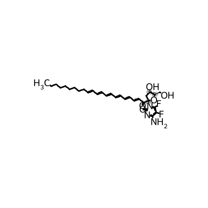 CCCCCCCCCC=CC=CC=CC=CC=CC=CC(=O)[C@]1(n2c(F)c(F)c(N)nc2=O)C[C@H](O)[C@@H](CO)O1